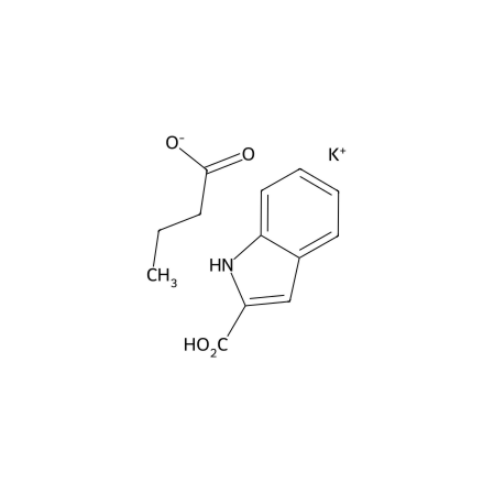 CCCC(=O)[O-].O=C(O)c1cc2ccccc2[nH]1.[K+]